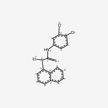 CCN(C(=S)Nc1ccc(Cl)c(Cl)c1)c1cccc2ccccc12